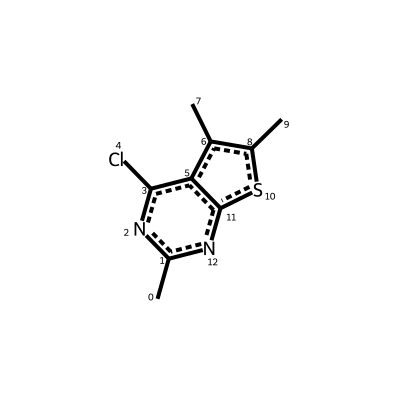 Cc1nc(Cl)c2c(C)c(C)sc2n1